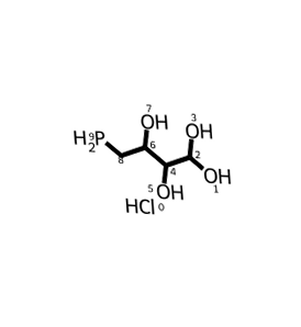 Cl.OC(O)C(O)C(O)CP